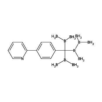 BB(B)B(B)C(B(B)B)(B(B)B)c1ccc(-c2ccccn2)cc1